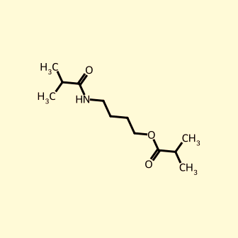 CC(C)C(=O)NCCCCOC(=O)C(C)C